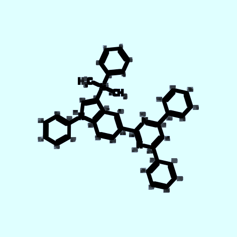 C[Si](C)(c1ccccc1)c1cn(-c2ccccc2)c2ccc(-c3nc(-c4ccccc4)cc(-c4ccccc4)n3)cc12